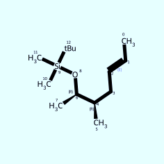 C/C=C/C[C@@H](C)[C@@H](C)O[Si](C)(C)C(C)(C)C